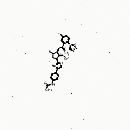 C\C=C(/C=C1\C(=N\O)C(c2ncc(-c3ccc(NC(=O)OC)cc3)[nH]2)CC1F)c1cc(Cl)ccc1-n1cnnn1